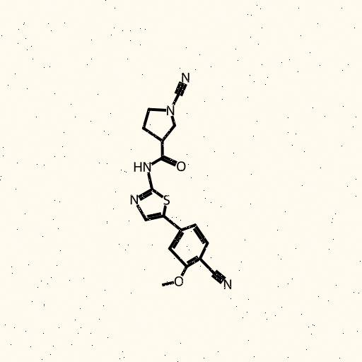 COc1cc(-c2cnc(NC(=O)C3CCN(C#N)C3)s2)ccc1C#N